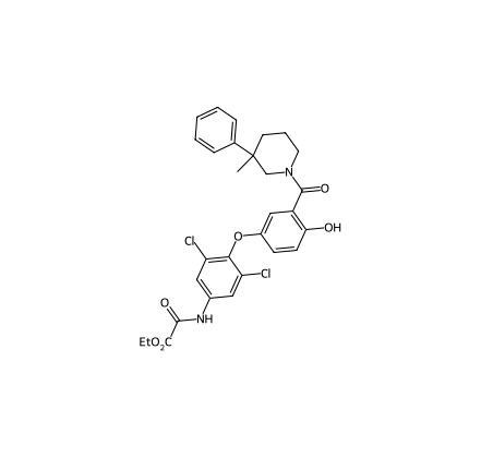 CCOC(=O)C(=O)Nc1cc(Cl)c(Oc2ccc(O)c(C(=O)N3CCCC(C)(c4ccccc4)C3)c2)c(Cl)c1